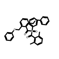 Cc1cccc(C)c1C(=O)P(=O)(C(=O)c1c(COc2ccccc2)cccc1COc1ccccc1)c1ccccc1